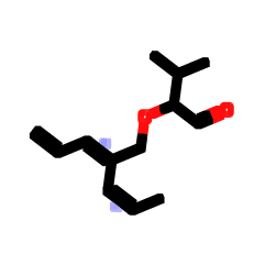 C=C/C=C(\C=C/C)COC(C=O)C(C)C